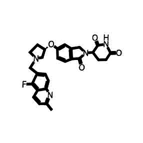 Cc1ccc2c(F)c(CN3CC[C@H](Oc4ccc5c(c4)CN(C4CCC(=O)NC4=O)C5=O)C3)ccc2n1